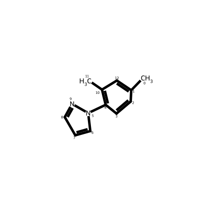 Cc1ccc(-n2cc[c]n2)c(C)c1